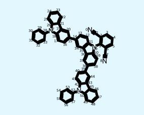 N#Cc1cccc(C#N)c1-n1c2ccc(-c3ccc4c(c3)c3ccccc3n4-c3ccccc3)cc2c2cc(-c3ccc4c(c3)c3ccccc3n4-c3ccccc3)ccc21